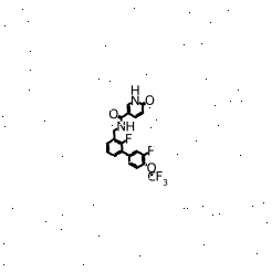 O=C(NCc1cccc(-c2ccc(OC(F)(F)F)c(F)c2)c1F)c1ccc(=O)[nH]c1